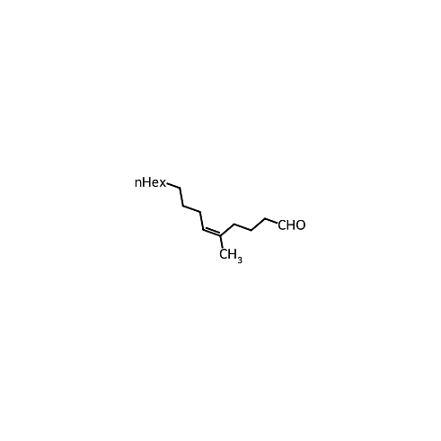 CCCCCCCCCC=C(C)CCCC=O